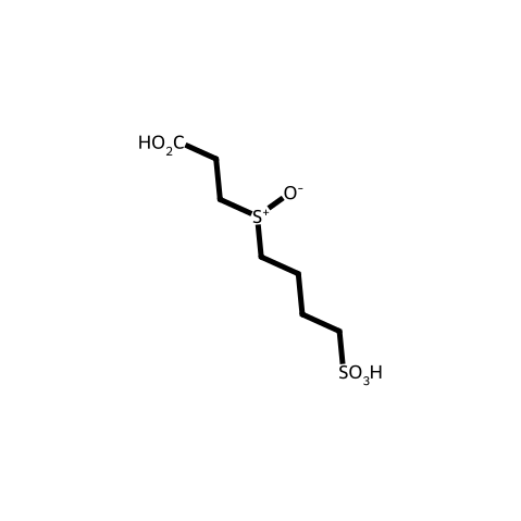 O=C(O)CC[S+]([O-])CCCCS(=O)(=O)O